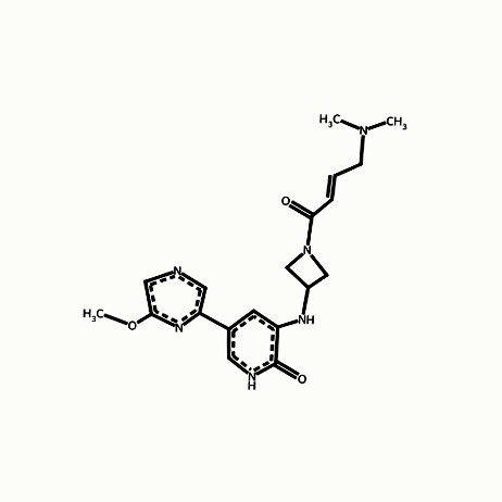 COc1cncc(-c2c[nH]c(=O)c(NC3CN(C(=O)C=CCN(C)C)C3)c2)n1